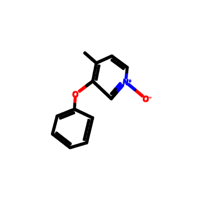 Cc1cc[n+]([O-])cc1Oc1ccccc1